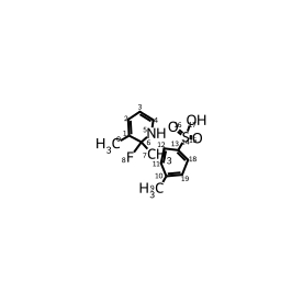 CC1=CC=CNC1(C)F.Cc1ccc(S(=O)(=O)O)cc1